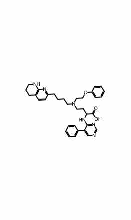 O=C(O)C(CCN(CCCCc1ccc2c(n1)NCCC2)CCOc1ccccc1)Nc1ncncc1-c1ccccc1